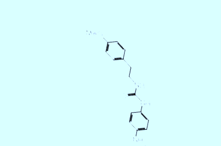 COc1ccc(CCNC(=S)Nc2ccc(N)cc2)cc1